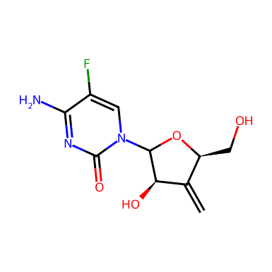 C=C1[C@H](CO)OC(n2cc(F)c(N)nc2=O)[C@@H]1O